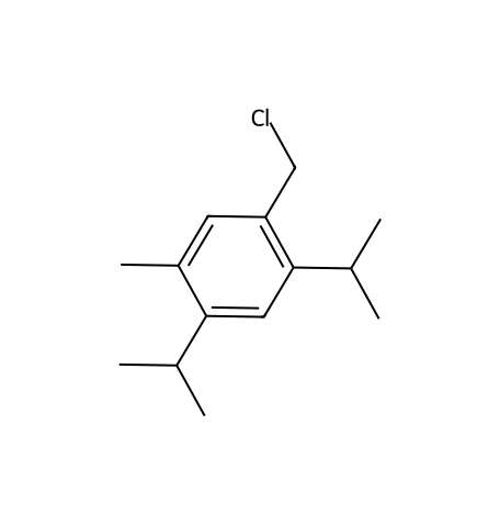 Cc1cc(CCl)c(C(C)C)cc1C(C)C